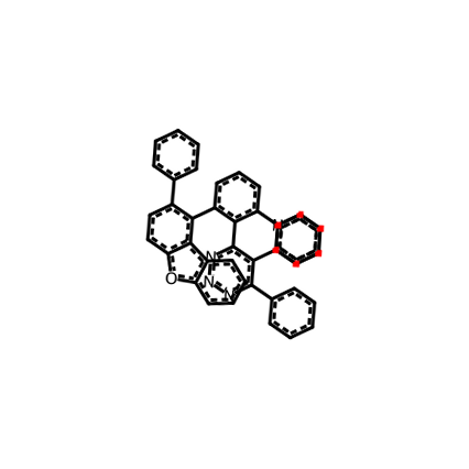 c1ccc(-c2cccc(-c3c(-c4ccccc4)ccc4oc5ccccc5c34)c2-c2nnnc(-c3ccccc3)c2-c2ccccn2)cc1